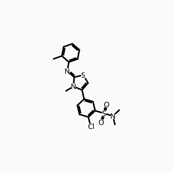 Cc1ccccc1N=c1scc(-c2ccc(Cl)c(S(=O)(=O)N(C)C)c2)n1C